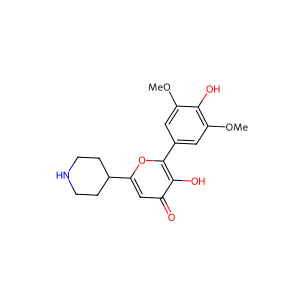 COc1cc(-c2oc(C3CCNCC3)cc(=O)c2O)cc(OC)c1O